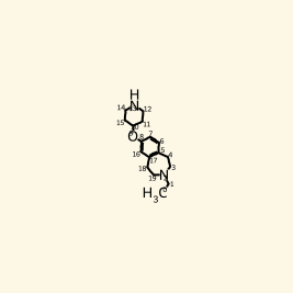 CCN1CCc2ccc(OC3CCNCC3)cc2CC1